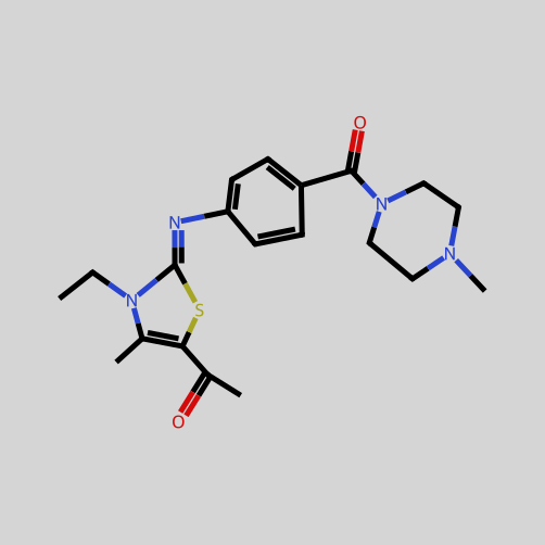 CCn1c(C)c(C(C)=O)s/c1=N\c1ccc(C(=O)N2CCN(C)CC2)cc1